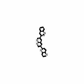 c1ccc2nnc(-c3cnc4ncc(-c5ccc6ncccc6n5)cc4c3)cc2c1